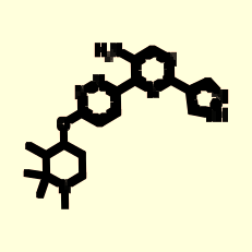 CC1C(Oc2ccc(-c3nc(-c4cn[nH]c4)ncc3N)nn2)CCN(C)C1(C)C